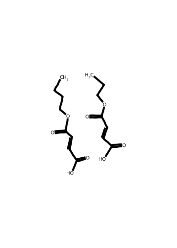 CCCCOC(=O)/C=C/C(=O)O.CCCOC(=O)/C=C/C(=O)O